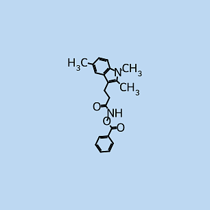 Cc1ccc2c(c1)c(CCC(=O)NOC(=O)c1ccccc1)c(C)n2C